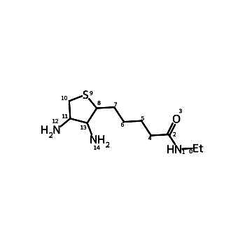 CCNC(=O)CCCCC1SCC(N)C1N